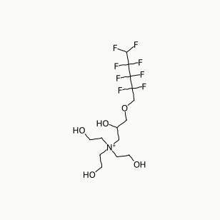 OCC[N+](CCO)(CCO)CC(O)COCC(F)(F)C(F)(F)C(F)(F)C(F)F